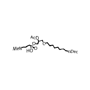 CCCCCCCCCCCCCCCCCCOCC(COP(=O)(O)CCCNC)OC(C)=O